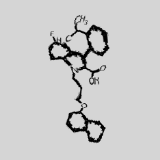 CC(C)c1ccccc1-c1c(C(=O)O)n(CCCOc2cccc3ccccc23)c2ccc(F)cc12